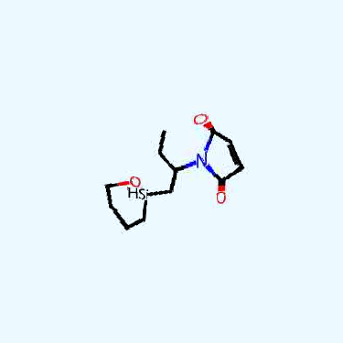 CCC(C[SiH]1CCCCO1)N1C(=O)C=CC1=O